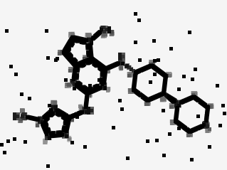 Cn1nnc(Nc2nc(N[C@H]3CC[C@H](N4CCOCC4)CC3)c3c(ccn3C)n2)n1